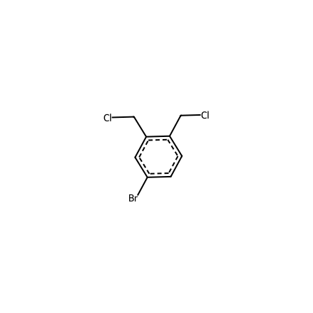 ClCc1ccc(Br)cc1CCl